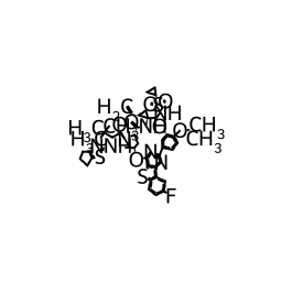 C=C[C@@H]1C[C@]1(NC(=O)[C@@H]1C[C@@H](Oc2nc(-c3ccc(OC(C)C)cc3)nc3c2sc2ccc(F)cc23)CN1C(=O)[C@@H](Nc1nc2c(s1)CCC2)C(C)(C)C)C(=O)NS(=O)(=O)C1CC1